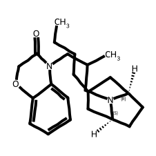 CCCCC1C[C@H]2CC[C@@H](C1)N2CC(C)CN1C(=O)COc2ccccc21